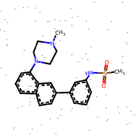 CN1CCN(c2cccc3ccc(-c4cccc(NS(C)(=O)=O)c4)cc23)CC1